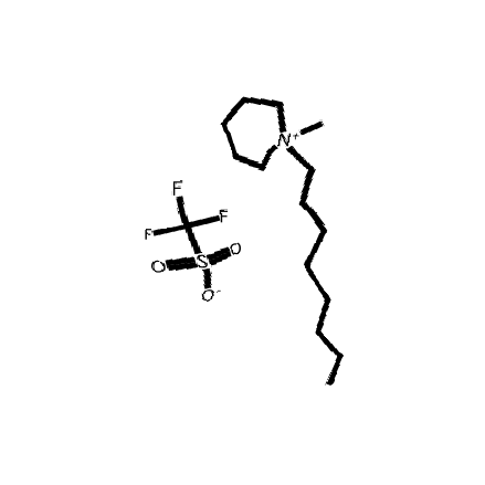 CCCCCCCC[N+]1(C)CCCCC1.O=S(=O)([O-])C(F)(F)F